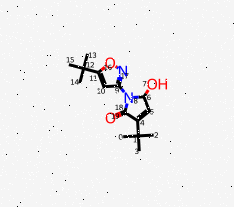 CC(C)(C)C1=CC(O)N(c2cc(C(C)(C)C)on2)C1=O